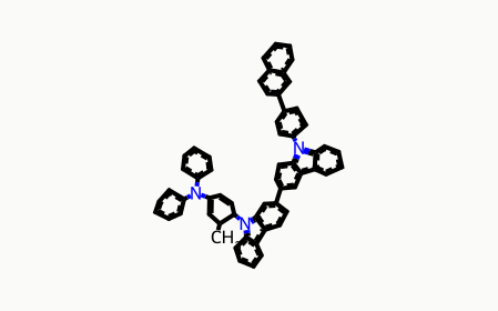 CC1C=C(N(c2ccccc2)c2ccccc2)C=CC1n1c2ccccc2c2ccc(-c3ccc4c(c3)c3ccccc3n4-c3ccc(-c4ccc5ccccc5c4)cc3)cc21